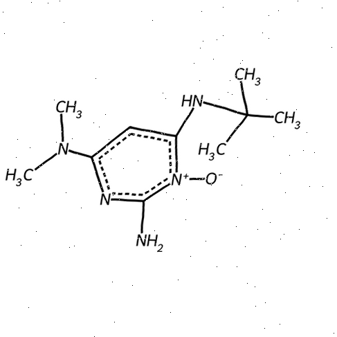 CN(C)c1cc(NC(C)(C)C)[n+]([O-])c(N)n1